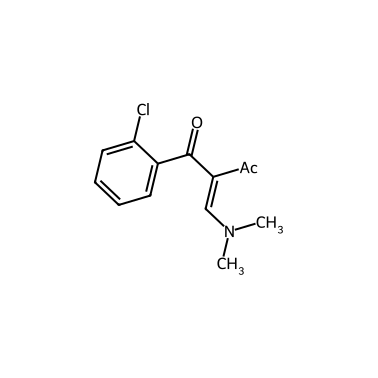 CC(=O)C(=CN(C)C)C(=O)c1ccccc1Cl